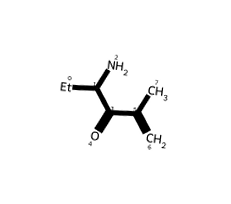 [CH2]CC(N)C(=O)C(=C)C